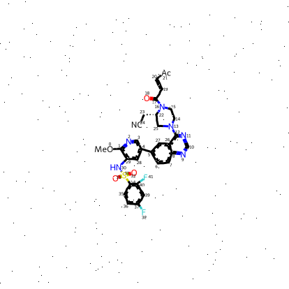 COc1ncc(-c2ccc3ncnc(N4CCN(C(=O)/C=C/C(C)=O)[C@@H](CC#N)C4)c3c2)cc1NS(=O)(=O)c1ccc(F)cc1F